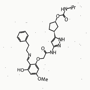 COc1cc(O)c(/C=N/CCc2ccccc2)c(OCC(=O)Nc2cc([C@H]3CC[C@@H](OC(=O)NC(C)C)C3)[nH]n2)c1